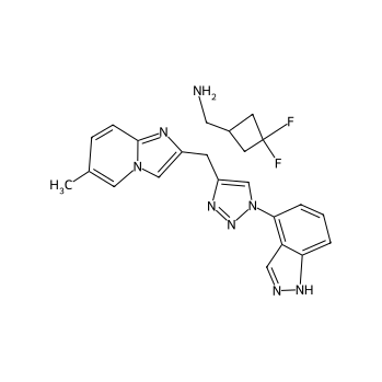 Cc1ccc2nc(Cc3cn(-c4cccc5[nH]ncc45)nn3)cn2c1.NCC1CC(F)(F)C1